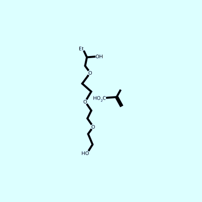 C=C(C)C(=O)O.CCC(O)COCCOCCOCCO